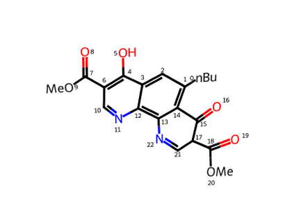 CCCCc1cc2c(O)c(C(=O)OC)cnc2c2c1C(=O)C(C(=O)OC)C=N2